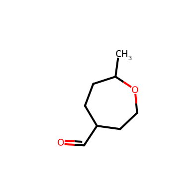 CC1CCC(C=O)CCO1